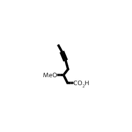 CC#CCC(CC(=O)O)OC